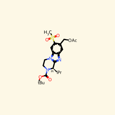 CC(=O)OCc1cc2nc3n(c2cc1S(C)(=O)=O)CCN(C(=O)OC(C)(C)C)[C@@H]3C(C)C